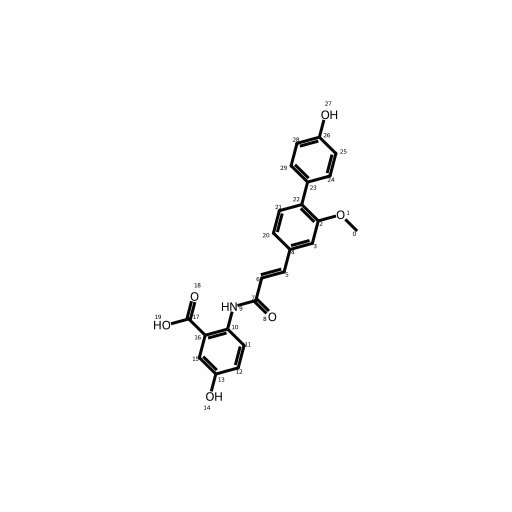 COc1cc(C=CC(=O)Nc2ccc(O)cc2C(=O)O)ccc1-c1ccc(O)cc1